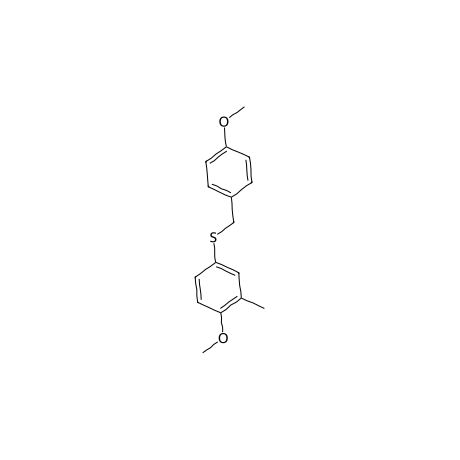 COc1ccc(CSc2ccc(OC)c(C)c2)cc1